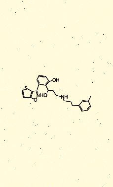 Cc1cccc(CCCNCCC(O)c2c(O)cccc2-c2noc3ccsc23)c1